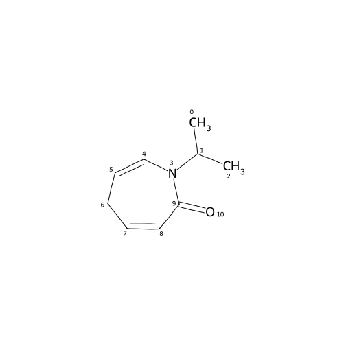 CC(C)N1C=CCC=CC1=O